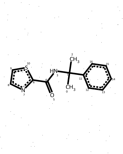 CC(C)(NC(=O)c1nccs1)c1ccccc1